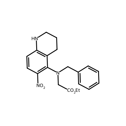 CCOC(=O)CN(Cc1ccccc1)c1c([N+](=O)[O-])ccc2c1CCCN2